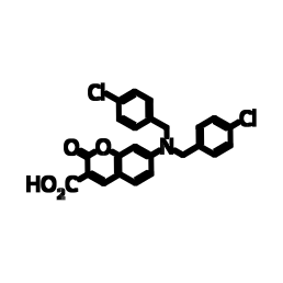 O=C(O)c1cc2ccc(N(Cc3ccc(Cl)cc3)Cc3ccc(Cl)cc3)cc2oc1=O